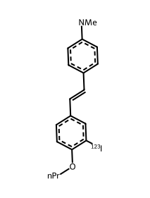 CCCOc1ccc(/C=C/c2ccc(NC)cc2)cc1[123I]